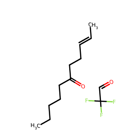 CC=CCCC(=O)CCCCC.O=CC(F)(F)F